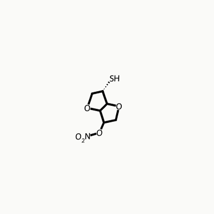 O=[N+]([O-])OC1COC2C1OC[C@@H]2S